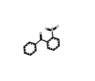 O=C(c1ccccc1)c1ccccc1[SH](=O)=O